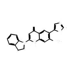 COc1cc2[nH]c(N3CCc4ccccc43)cc(=O)c2cc1-c1cnco1